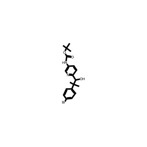 CC(C)(C)OC(=O)Nc1ccc(C(O)C(C)(C)c2ccc(Br)cc2)nc1